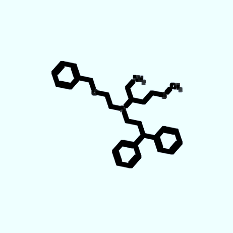 CSCCC(CN)N(CCOCc1ccccc1)CCC(c1ccccc1)c1ccccc1